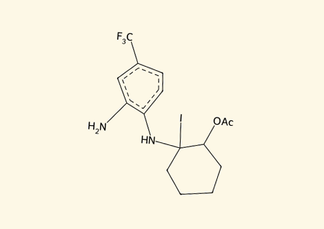 CC(=O)OC1CCCCC1(I)Nc1ccc(C(F)(F)F)cc1N